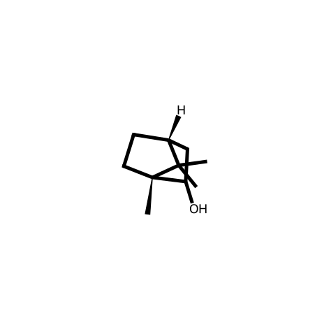 CC1(C)[C@@H]2CC[C@@]1(C)C(O)C2